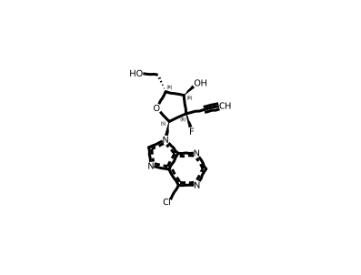 C#C[C@@]1(F)[C@H](O)[C@@H](CO)O[C@@H]1n1cnc2c(Cl)ncnc21